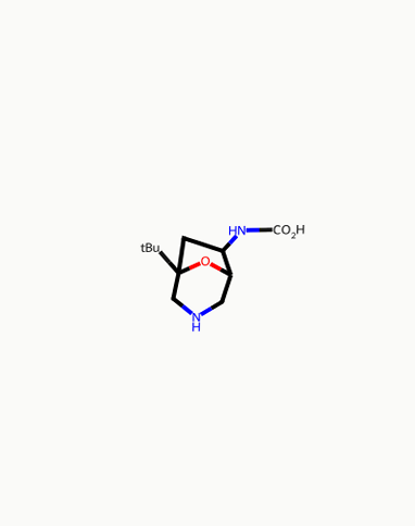 CC(C)(C)C12CNCC(O1)C(NC(=O)O)C2